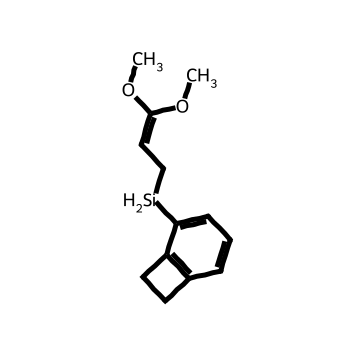 COC(=CC[SiH2]c1cccc2c1CC2)OC